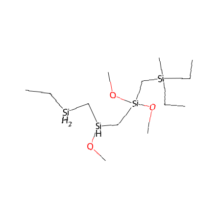 CC[SiH2]C[SiH](C[Si](C[Si](C)(CC)CC)(OC)OC)OC